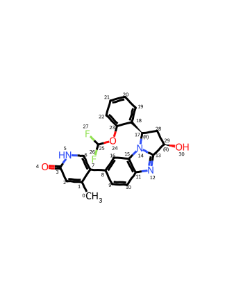 Cc1cc(=O)[nH]cc1-c1ccc2nc3n(c2c1)[C@@H](c1ccccc1OC(F)F)C[C@H]3O